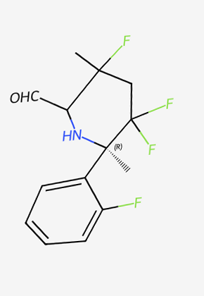 CC1(F)CC(F)(F)[C@@](C)(c2ccccc2F)NC1C=O